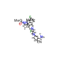 COC(=O)N[C@H]1CCC[C@@H]1[C@](CNC(C)=O)(c1cccc(F)c1)C1CCN(CC2(F)CN(c3ccc(C#N)c(CN(C)C)c3)C2)CC1